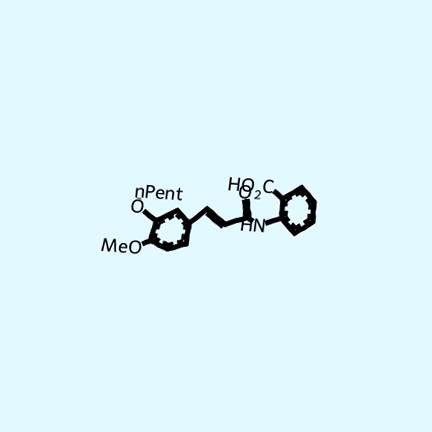 CCCCCOc1cc(/C=C/C(=O)Nc2ccccc2C(=O)O)ccc1OC